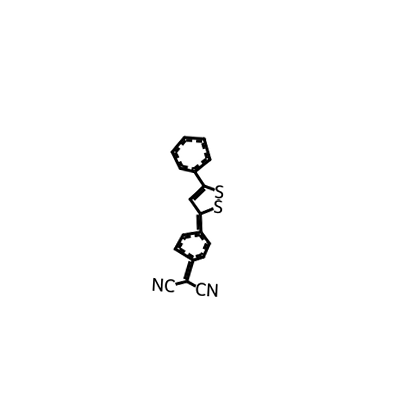 N#CC(C#N)=c1ccc(=C2C=C(c3ccccc3)SS2)cc1